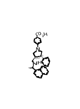 C[C@@H](NC[C@H]1CN(c2ccc(C(=O)O)cc2)C[C@@H]1c1ccccc1)c1cccc2ccccc12